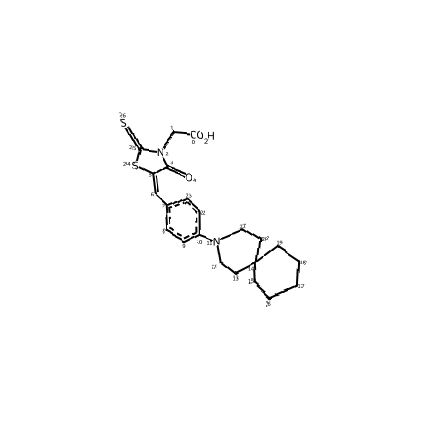 O=C(O)CN1C(=O)/C(=C\c2ccc(N3CCC4(CCCCC4)CC3)cc2)SC1=S